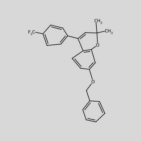 CC1(C)C=C(c2ccc(C(F)(F)F)cc2)c2ccc(OCc3ccccc3)cc2O1